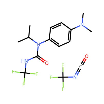 CC(C)N(C(=O)NC(F)(F)F)c1ccc(N(C)C)cc1.O=C=NC(F)(F)F